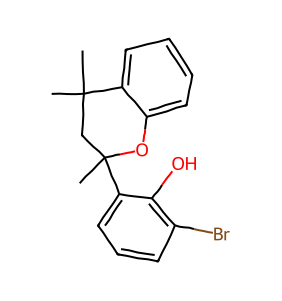 CC1(C)CC(C)(c2cccc(Br)c2O)Oc2ccccc21